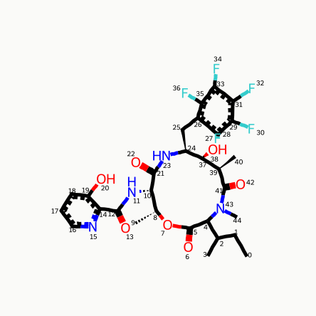 CCC(C)C1C(=O)O[C@H](C)[C@H](NC(=O)c2ncccc2O)C(=O)N[C@@H](Cc2c(F)c(F)c(F)c(F)c2F)[C@@H](O)[C@@H](C)C(=O)N1C